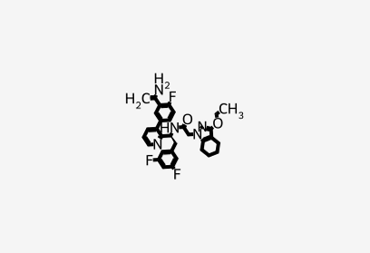 C=C(N)c1cc(-c2cccnc2[C@H](Cc2cc(F)cc(F)c2)NC(=O)Cn2nc(OCC)c3c2CCCC3)ccc1F